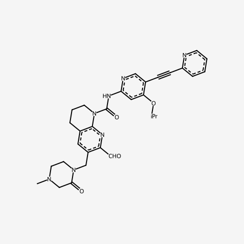 CC(C)Oc1cc(NC(=O)N2CCCc3cc(CN4CCN(C)CC4=O)c(C=O)nc32)ncc1C#Cc1ccccn1